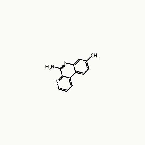 Cc1ccc2c(c1)nc(N)c1ncccc12